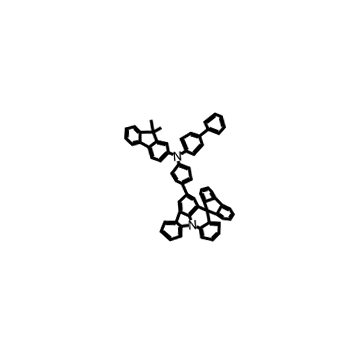 CC1(C)c2ccccc2-c2ccc(N(c3ccc(-c4ccccc4)cc3)c3ccc(-c4cc5c6c(c4)c4ccccc4n6-c4ccccc4C54c5ccccc5-c5ccccc54)cc3)cc21